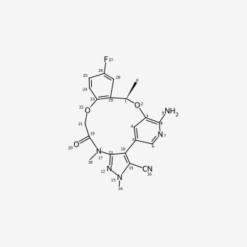 C[C@H]1Oc2cc(cnc2N)-c2c(nn(C)c2C#N)N(C)C(=O)COc2ccc(F)cc21